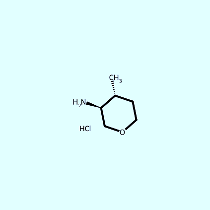 C[C@@H]1CCOC[C@H]1N.Cl